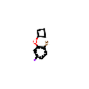 Brc1ccc(I)cc1OC1CCC1